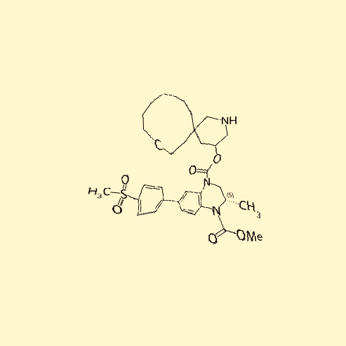 COC(=O)N1c2ccc(-c3ccc(S(C)(=O)=O)cc3)cc2N(C(=O)OC2CNCC3(CCCCCCCCC3)C2)C[C@@H]1C